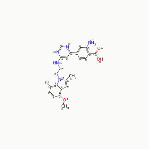 COc1ccc(F)c2c1cc(C)n2CCNc1cc(-c2ccc(C(=O)O)c(N)c2)ncn1